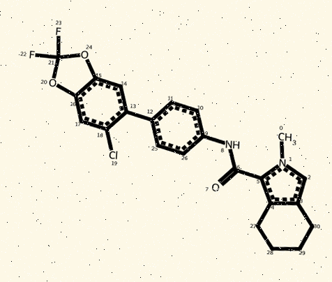 Cn1cc2c(c1C(=O)Nc1ccc(-c3cc4c(cc3Cl)OC(F)(F)O4)cc1)CCCC2